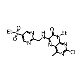 CCn1c(=O)c(NCc2ncc(S(=O)(=O)CC)cn2)nc2c(C)nc(Cl)nc21